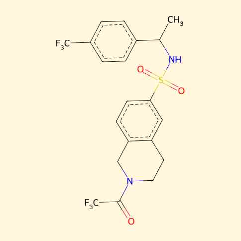 CC(NS(=O)(=O)c1ccc2c(c1)CCN(C(=O)C(F)(F)F)C2)c1ccc(C(F)(F)F)cc1